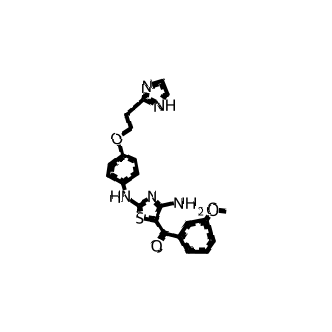 COc1cccc(C(=O)c2sc(Nc3ccc(OCCc4ncc[nH]4)cc3)nc2N)c1